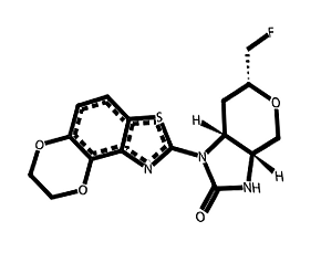 O=C1N[C@H]2CO[C@@H](CF)C[C@H]2N1c1nc2c3c(ccc2s1)OCCO3